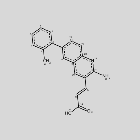 Cc1ccccc1-c1cc2cc(C=CC(=O)O)c(N)nc2cn1